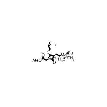 C=CCS[C@@H]1[C@@H](CCO[Si](C)(C)C(C)(C)C)C(=O)N1CC(=O)OC